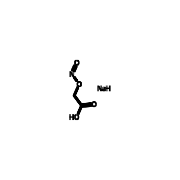 O=NOCC(=O)O.[NaH]